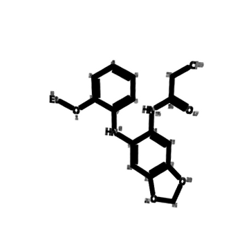 CCOc1ccccc1Nc1cc2c(cc1NC(=O)CCl)OCO2